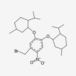 CC1CCC(C(C)C)C(Oc2cc(CBr)c([N+](=O)[O-])cc2OC2CC(C)CCC2C(C)C)C1